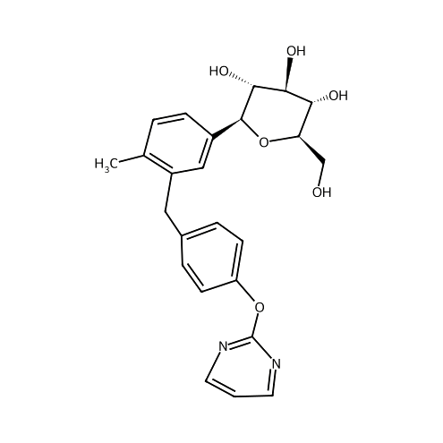 Cc1ccc([C@@H]2O[C@H](CO)[C@@H](O)[C@H](O)[C@H]2O)cc1Cc1ccc(Oc2ncccn2)cc1